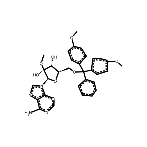 COc1ccc(C(OC[C@H]2O[C@@H](n3cnc4c(N)ncnc43)[C@@](O)(OC)[C@@H]2O)(c2ccccc2)c2ccc(OC)cc2)cc1